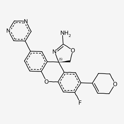 NC1=N[C@@]2(CO1)c1cc(-c3cncnc3)ccc1Oc1cc(F)c(C3=CCOCC3)cc12